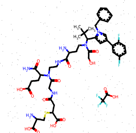 CC(C)(C)C(c1cc(-c2cc(F)ccc2F)cn1Cc1ccccc1)N(CCC(N)C(=O)NCCN(C(=O)CNC(=O)CC(SCC(N)C(=O)O)C(=O)O)C(CCC(=O)O)C(N)=O)C(=O)CO.O=C(O)C(F)(F)F